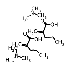 C=C(CCC)C(=O)O.C=C(CCC)C(=O)O.CN(C)C.CN(C)C